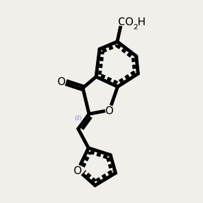 O=C(O)c1ccc2c(c1)C(=O)/C(=C/c1ccco1)O2